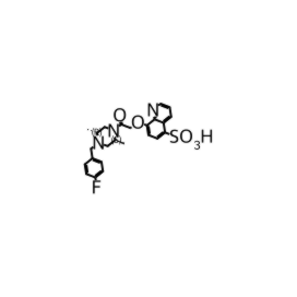 C[C@@H]1CN(C(=O)COc2ccc(S(=O)(=O)O)c3cccnc23)[C@@H](C)CN1Cc1ccc(F)cc1